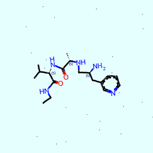 CCNC(=O)[C@@H](NC(=O)[C@H](C)NC[C@@H](N)Cc1cccnc1)C(C)C